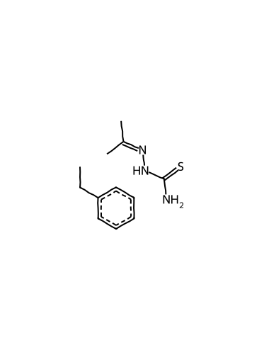 CC(C)=NNC(N)=S.CCc1ccccc1